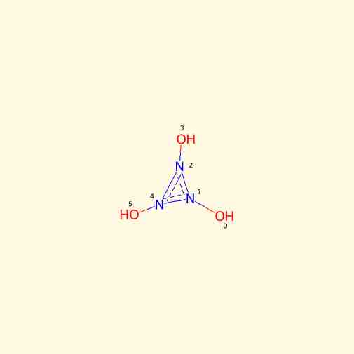 On1n(O)n1O